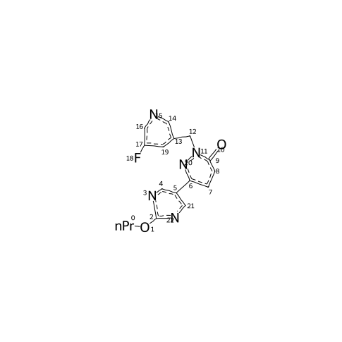 CCCOc1ncc(-c2ccc(=O)n(Cc3cncc(F)c3)n2)cn1